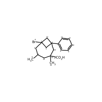 CC1CC2(Br)CC(c3ccccc3)(C2)CC(C)(C(=O)O)C1